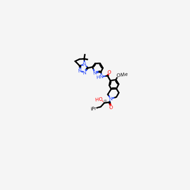 COc1cc2c(cc1C(=O)Nc1cccc(-c3nnc4n3C(C)(C)CC4)n1)CN(C(=O)[C@@H](O)CC(C)C)CC2